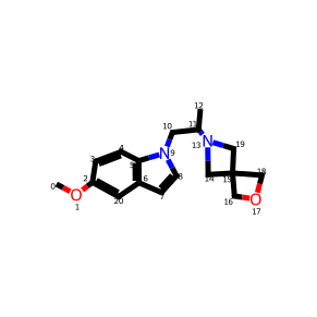 COc1ccc2c(ccn2CC(C)N2CC3(COC3)C2)c1